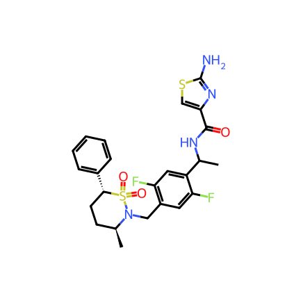 CC(NC(=O)c1csc(N)n1)c1cc(F)c(CN2[C@@H](C)CC[C@H](c3ccccc3)S2(=O)=O)cc1F